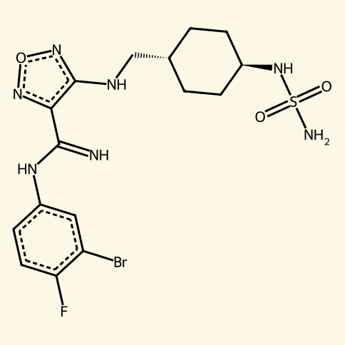 N=C(Nc1ccc(F)c(Br)c1)c1nonc1NC[C@H]1CC[C@H](NS(N)(=O)=O)CC1